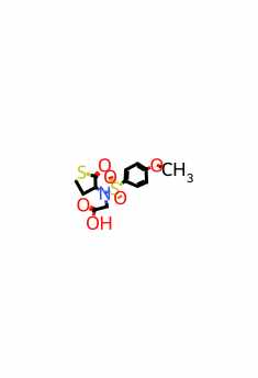 COc1ccc(S(=O)(=O)N(CC(=O)O)C2CCSC2=O)cc1